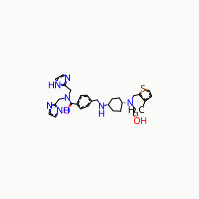 Cc1ccsc1CN(CCO)[C@H]1CC[C@H](NCc2ccc(C(=O)N(Cc3ncc[nH]3)Cc3ncc[nH]3)cc2)CC1